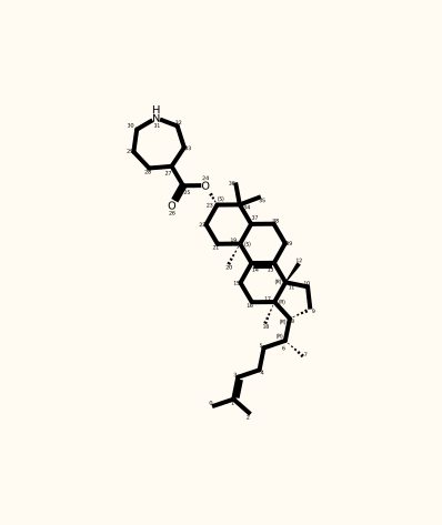 CC(C)=CCC[C@@H](C)[C@H]1CC[C@@]2(C)C3=C(CC[C@]12C)[C@@]1(C)CC[C@H](OC(=O)C2CCCNCC2)C(C)(C)C1CC3